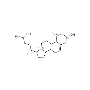 CC(C)C(O)CC[C@@H](C)C1CCC2C3CC=C4C[C@@H](O)C[C@@H](C)C4C3CC[C@@]21C